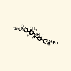 Cc1cc(NC(=O)c2ccc(C3=CCN(C(=O)OC(C)(C)C)CC3)c(F)c2)cc(F)c1C1=CCN(C(=O)OC(C)(C)C)CC1